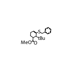 COC(=O)C1CCC=C(SCc2ccccc2)C1C(C)(C)C